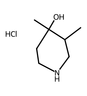 CC1CNCCC1(C)O.Cl